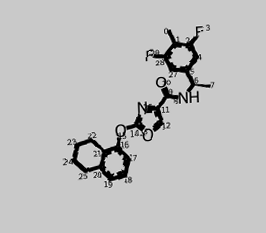 Cc1c(F)cc([C@@H](C)NC(=O)c2coc(Oc3cccc4c3CCCC4)n2)cc1F